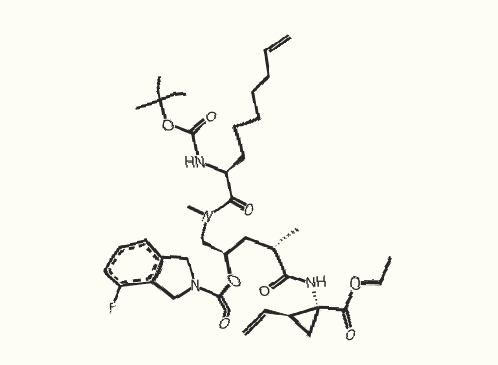 C=CCCCCC[C@H](NC(=O)OC(C)(C)C)C(=O)N(C)C[C@@H](C[C@H](C)C(=O)N[C@]1(C(=O)OCC)C[C@H]1C=C)OC(=O)N1Cc2cccc(F)c2C1